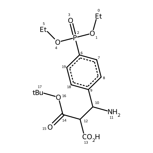 CCOP(=O)(OCC)c1ccc(C(N)C(C(=O)O)C(=O)OC(C)(C)C)cc1